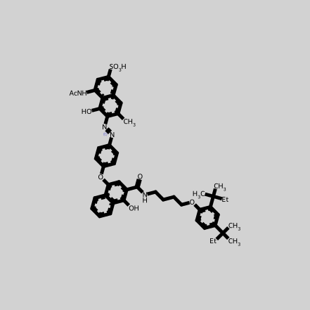 CCC(C)(C)c1ccc(OCCCCNC(=O)c2cc(Oc3ccc(/N=N/c4c(C)cc5cc(S(=O)(=O)O)cc(NC(C)=O)c5c4O)cc3)c3ccccc3c2O)c(C(C)(C)CC)c1